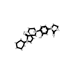 O=C1OCCN1c1ccc(N2CCC[C@]3(CCN(C4CCCCC4)C3=O)C2)c(F)c1